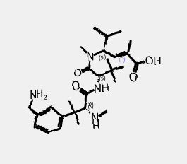 CN[C@@H](C(=O)N[C@H](C(=O)N(C)[C@H](/C=C(\C)C(=O)O)C(C)C)C(C)(C)C)C(C)(C)c1cccc(CN)c1